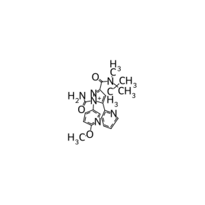 COc1ccc([N+]2(C(N)=O)N=C(C(=O)N(C)C(C)(C)C)C=C2c2ccccn2)cn1